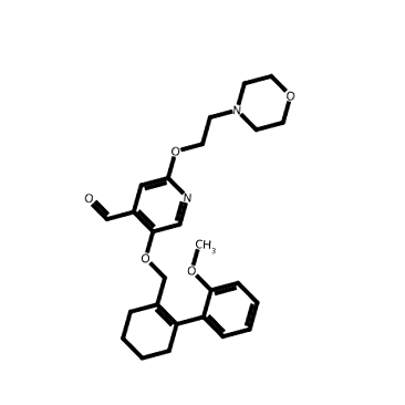 COc1ccccc1C1=C(COc2cnc(OCCN3CCOCC3)cc2C=O)CCCC1